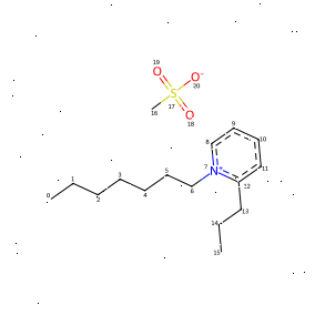 CCCCCCC[n+]1ccccc1CCC.CS(=O)(=O)[O-]